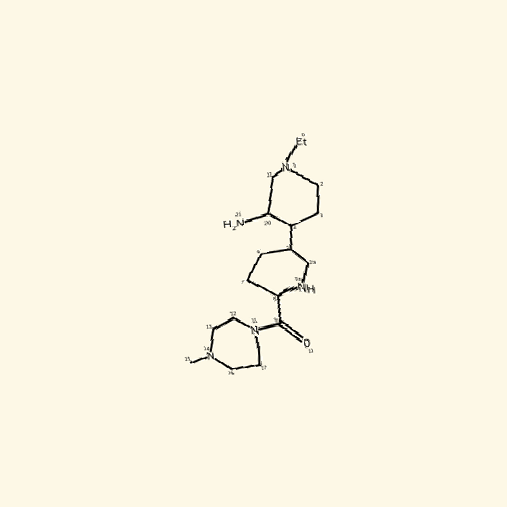 CCN1CCC(C2CCC(C(=O)N3CCN(C)CC3)NC2)C(N)C1